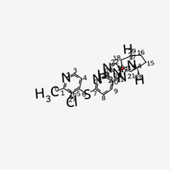 Cc1nccc(Sc2ccc3nc(N4[C@@H]5CC[C@H]4CC(N)C5)cnc3n2)c1Cl